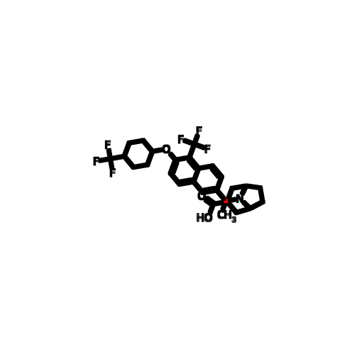 CC(c1ccc2c(C(F)(F)F)c(OC3CCC(C(F)(F)F)CC3)ccc2c1)N1C2CCC1CC(C(=O)O)C2